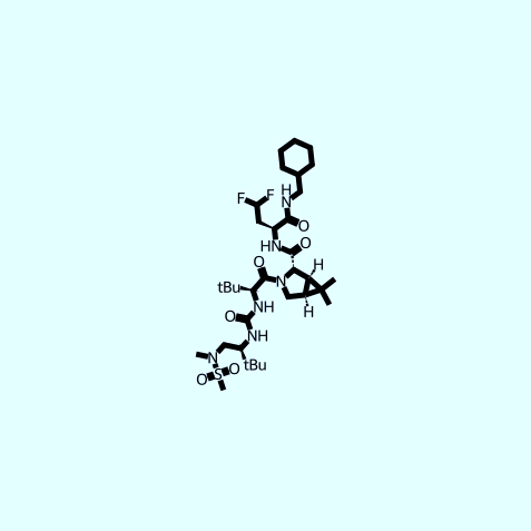 CN(C[C@@H](NC(=O)N[C@H](C(=O)N1C[C@H]2[C@@H]([C@H]1C(=O)N[C@@H](CC(F)F)C(=O)NCC1CCCCC1)C2(C)C)C(C)(C)C)C(C)(C)C)S(C)(=O)=O